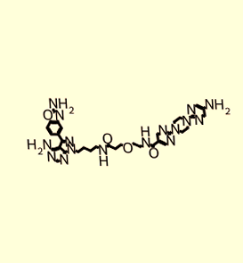 Nc1cnc(N2CCN(c3ncc(C(=O)NCCOCCC(=O)NCCCCn4nc(-c5ccc6oc(N)nc6c5)c5c(N)ncnc54)cn3)CC2)nc1